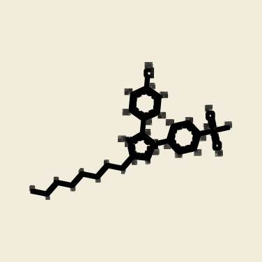 CCCCCCCCc1cn(-c2ccc(S(C)(=O)=O)cc2)c(-c2ccc(Cl)cc2)n1